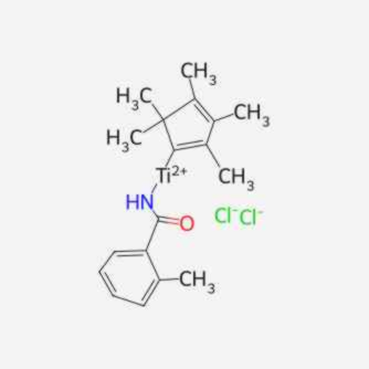 CC1=C(C)C(C)(C)[C]([Ti+2][NH]C(=O)c2ccccc2C)=C1C.[Cl-].[Cl-]